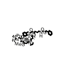 CC[C@H](C)[C@@H]([C@@H](CC(=O)N1CCC[C@H]1[C@H](OC)[C@@H](C)C(=O)N[C@@H](Cc1ccccc1)C(=O)NCCCNC(=O)OCc1ccccc1)OC)N(C)C(=O)[C@@H](N=C(N(C)C)N(C)C)C(C)C